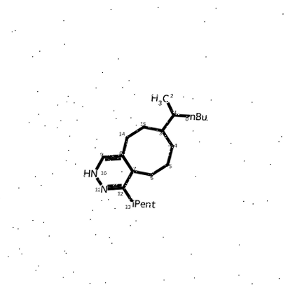 CCCCC(C)C1CCCC2C(=CNN=C2C(C)CCC)CC1